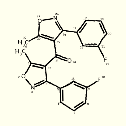 Cc1onc(-c2cccc(F)c2)c1C(=O)c1c(-c2cccc(F)c2)noc1C